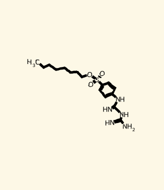 CCCCCCCCOS(=O)(=O)c1ccc(NC(=N)NC(=N)N)cc1